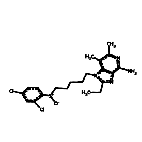 CCc1nc2c(N)nc(C)c(C)c2n1CCCCC[S+]([O-])c1ccc(Cl)cc1Cl